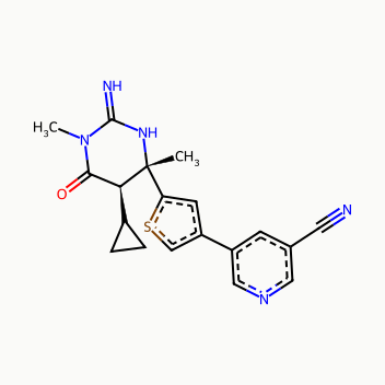 CN1C(=N)N[C@](C)(c2cc(-c3cncc(C#N)c3)cs2)[C@@H](C2CC2)C1=O